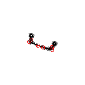 CC(C)(CCCCOCCCOCCCCC(C)(C)C(=O)OCc1ccccc1)C(=O)OCc1ccccc1